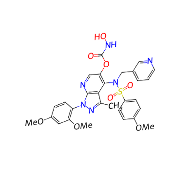 COc1ccc(S(=O)(=O)N(Cc2cccnc2)c2c(OC(=O)NO)cnc3c2c(C)nn3-c2ccc(OC)cc2OC)cc1